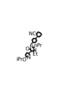 CCCc1nc(CC)c(-c2ccc(OC(C)C)nc2)c(=O)n1Cc1ccc(-c2ccccc2C#N)cc1